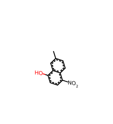 Cc1ccc2c([N+](=O)[O-])ccc(O)c2c1